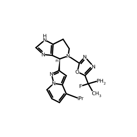 CC(C)c1cccn2nc([C@H]3c4nc[nH]c4CCN3c3nnc(C(C)(F)P)o3)cc12